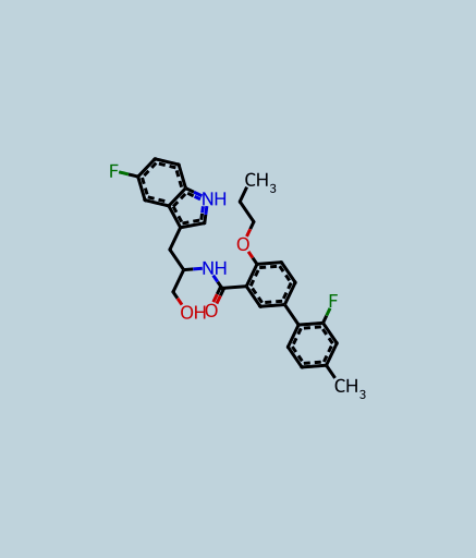 CCCOc1ccc(-c2ccc(C)cc2F)cc1C(=O)NC(CO)Cc1c[nH]c2ccc(F)cc12